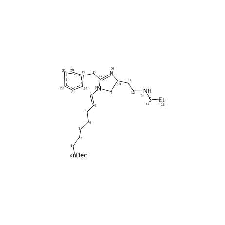 CCCCCCCCCCCCCCCC=CN1CC(CCNSCC)N=C1Cc1ccccc1